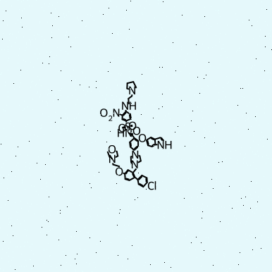 O=C(NS(=O)(=O)c1ccc(NCCCN2CCCC2)c([N+](=O)[O-])c1)c1ccc(N2CCN(Cc3cc(OCCN4CCOCC4)ccc3-c3ccc(Cl)cc3)CC2)cc1Oc1ccc2[nH]ccc2c1